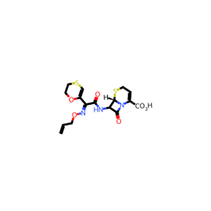 C=CCON=C(C(=O)NC1C(=O)N2C(C(=O)O)=CCS[C@@H]12)C1=CSCCO1